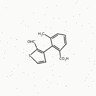 Cc1cccc(C(=O)O)c1-c1ccsc1C=O